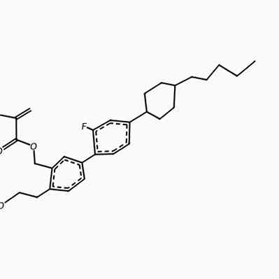 C=C(C)C(=O)OCc1cc(-c2ccc(C3CCC(CCCCC)CC3)cc2F)ccc1CCO